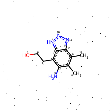 Cc1c(N)c(CCO)c2[nH]nnc2c1C